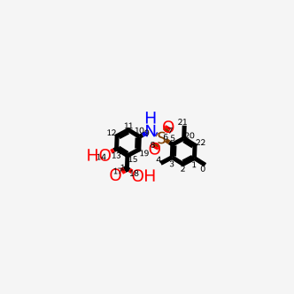 Cc1cc(C)c(S(=O)(=O)Nc2ccc(O)c(C(=O)O)c2)c(C)c1